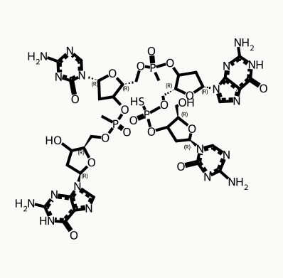 CP(=O)(OC[C@H]1O[C@@H](n2cnc3c(=O)[nH]c(N)nc32)CC1O)OC1C[C@H](n2cnc(N)nc2=O)O[C@@H]1COP(C)(=O)OC1C[C@H](n2cnc3c(=O)[nH]c(N)nc32)O[C@@H]1COP(=O)(S)OC1C[C@H](n2cnc(N)nc2=O)O[C@@H]1CO